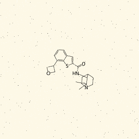 CC1(C)C(NC(=O)c2cc3cccc(C4COC4)c3s2)C2CCN1CC2